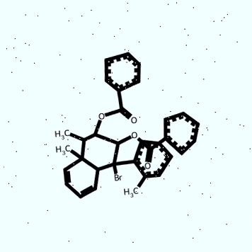 Cc1ccccc1C1(Br)C(OC(=O)c2ccccc2)C(OC(=O)c2ccccc2)C(C)C2(C)C=CC=CC21